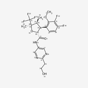 COc1c([C@H]2[C@H](C(=O)Nc3cnc(CCO)nc3)O[C@@](C)(C(F)(F)F)[C@H]2C)ccc(F)c1F